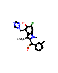 CCOC(=O)c1c(C(=S=O)c2cccc(C)c2)n(C)c2cc(Br)c(O)c(Cn3cncn3)c12